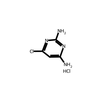 Cl.Nc1cc(Cl)nc(N)n1